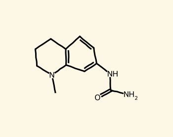 CN1CCCc2ccc(NC(N)=O)cc21